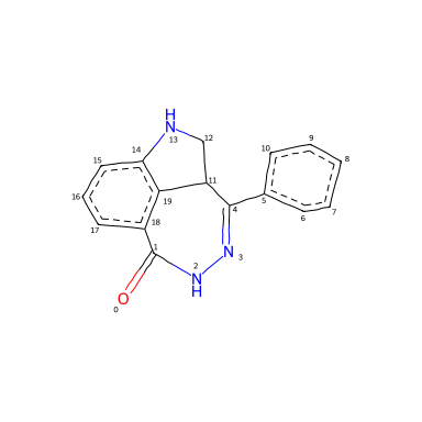 O=C1NN=C(c2ccccc2)C2CNc3cccc1c32